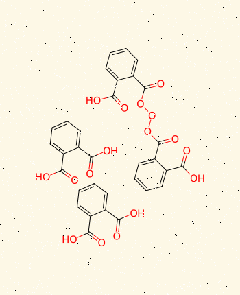 O=C(O)c1ccccc1C(=O)O.O=C(O)c1ccccc1C(=O)O.O=C(O)c1ccccc1C(=O)OOOC(=O)c1ccccc1C(=O)O